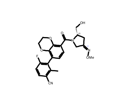 CO/N=C1/C[C@@H](CO)N(C(=O)c2ccc(-c3c(F)ccc(C#N)c3C)c3c2OCCO3)C1